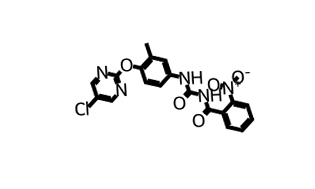 Cc1cc(NC(=O)NC(=O)c2ccccc2[N+](=O)[O-])ccc1Oc1ncc(Cl)cn1